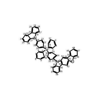 c1ccc([Si](c2ccccc2)(c2ccc(-n3c4ccccc4c4ccccc43)cc2)c2ccc(-n3c4ccccc4c4cc5oc6ccccc6c5cc43)cc2)cc1